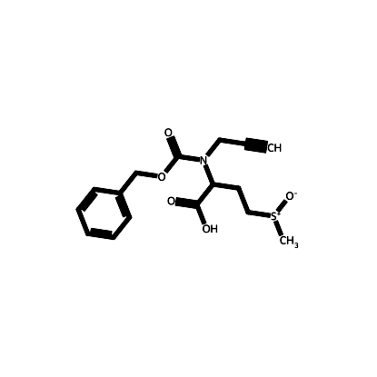 C#CCN(C(=O)OCc1ccccc1)C(CC[S+](C)[O-])C(=O)O